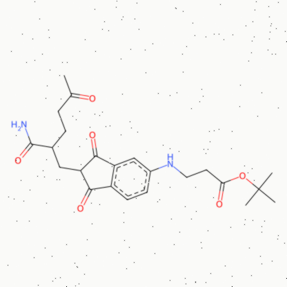 CC(=O)CCC(CC1C(=O)c2ccc(NCCC(=O)OC(C)(C)C)cc2C1=O)C(N)=O